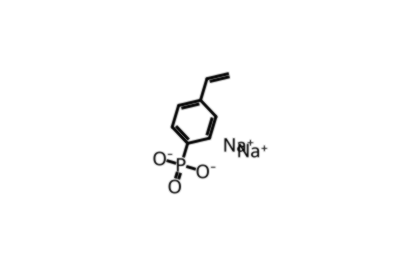 C=Cc1ccc(P(=O)([O-])[O-])cc1.[Na+].[Na+]